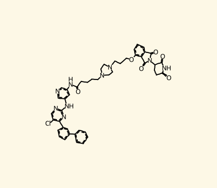 O=C1CCC(N2C(=O)c3cccc(OCCCN4CCN(CCCCC(=O)Nc5cncc(Nc6ncc(Cl)c(-c7cccc(-c8ccccc8)c7)n6)c5)CC4)c3C2=O)C(=O)N1